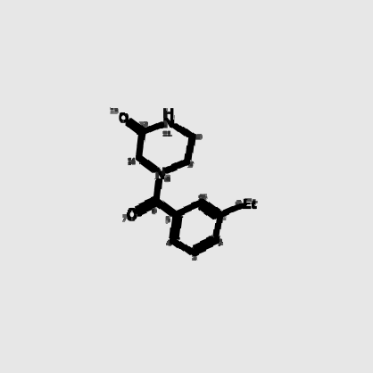 CCc1cccc(C(=O)N2CCNC(=O)C2)c1